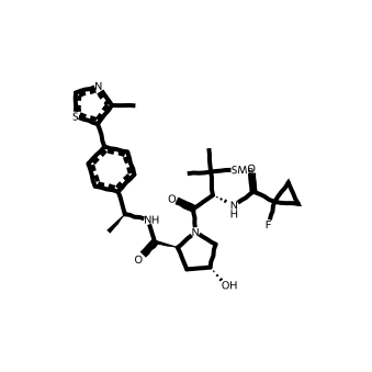 CSC(C)(C)[C@H](NC(=O)C1(F)CC1)C(=O)N1C[C@H](O)C[C@H]1C(=O)N[C@@H](C)c1ccc(-c2scnc2C)cc1